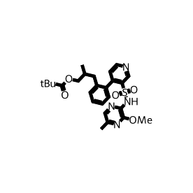 COc1nc(C)cnc1NS(=O)(=O)c1cnccc1-c1ccccc1CC(C)COC(=O)C(C)(C)C